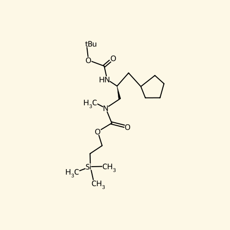 CN(C[C@H](CC1CCCC1)NC(=O)OC(C)(C)C)C(=O)OCC[Si](C)(C)C